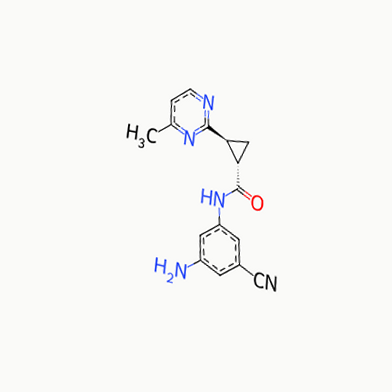 Cc1ccnc([C@H]2C[C@@H]2C(=O)Nc2cc(N)cc(C#N)c2)n1